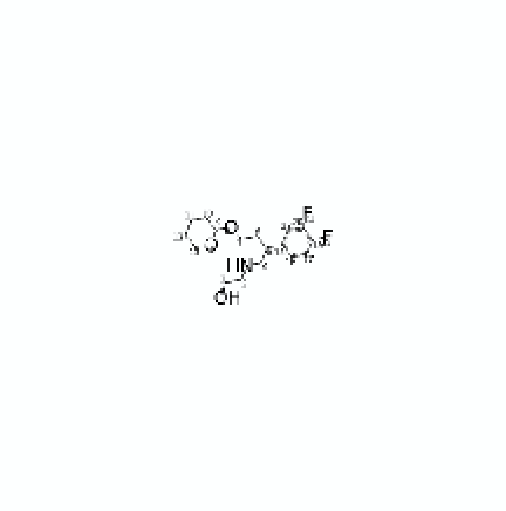 OCCNCC(CCOC1CCCCO1)c1ccc(F)c(F)c1